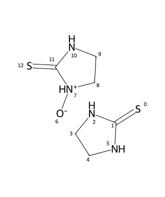 S=C1NCCN1.[O-][NH+]1CCNC1=S